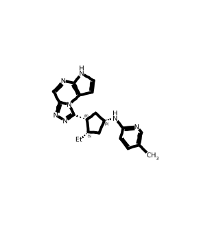 CC[C@H]1C[C@@H](Nc2ccc(C)cn2)C[C@H]1c1nnc2cnc3[nH]ccc3n12